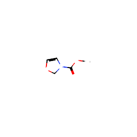 CC(C)(C)OC(=O)N1C=COC1